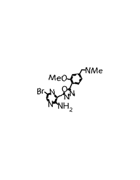 CNCc1ccc(-c2nnc(-c3nc(Br)cnc3N)o2)c(OC)c1